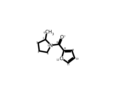 CC1CCCN1C(=O)c1ccco1